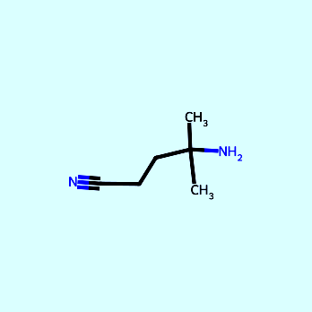 CC(C)(N)CCC#N